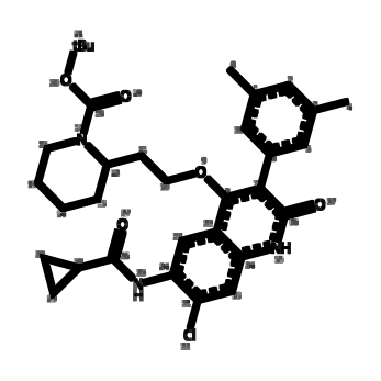 Cc1cc(C)cc(-c2c(OCCC3CCCCN3C(=O)OC(C)(C)C)c3cc(NC(=O)C4CC4)c(Cl)cc3[nH]c2=O)c1